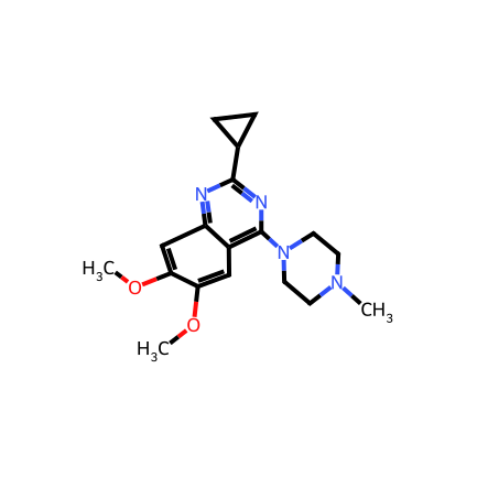 COc1cc2nc(C3CC3)nc(N3CCN(C)CC3)c2cc1OC